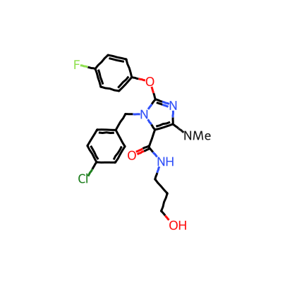 CNc1nc(Oc2ccc(F)cc2)n(Cc2ccc(Cl)cc2)c1C(=O)NCCCO